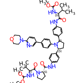 COC(=O)N[C@H](C(=O)Nc1ccc([C@H]2CC[C@@H](c3ccc(NC(=O)[C@@H]4CCCN4C(=O)[C@@H](NC(=O)OC)C(C)C)cc3)N2c2ccc(-c3ccc(N4CCOCC4)nc3)cc2)cc1)C(C)C